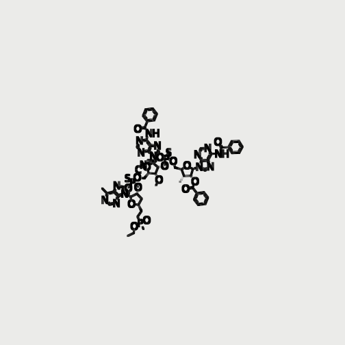 [C-]#[N+]CCOP(=S)(OC[C@H]1O[C@@H](n2cnc3c(NC(=O)c4ccccc4)ncnc32)[C@H](OC(=O)c2ccccc2)[C@@H]1C)O[C@@H]1[C@H](OC)[C@@H](COP(=S)(OC)O[C@@H]2C[C@@H](CCP(C)(=O)OCC)O[C@H]2n2cnc3c(C)ncnc32)O[C@H]1n1cnc2c(NC(=O)c3ccccc3)ncnc21